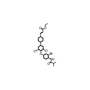 CCOC(=O)C=Cc1ccc(-c2cc(Cl)c(Oc3ccc(NC(=O)C(C)C)c(Br)c3)c(Cl)c2)cc1